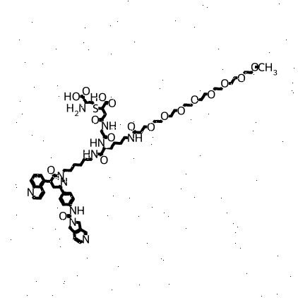 COCCOCCOCCOCCOCCOCCOCCOCCC(=O)NCCCC[C@H](NC(=O)CNC(=O)CC(SC[C@H](N)C(=O)O)C(=O)O)C(=O)NCCCCCCN1N=C(c2ccc(NC(=O)N3Cc4ccncc4C3)cc2)CC(c2cccc3ncccc23)C1=O